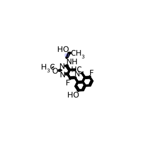 C#Cc1c(F)ccc2cc(O)cc(-c3ncc4c(N/C=C(\C)O)nc(OC)nc4c3F)c12